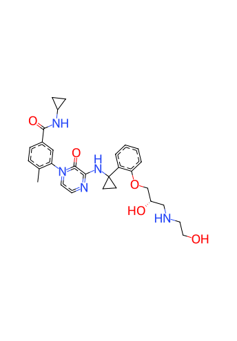 Cc1ccc(C(=O)NC2CC2)cc1-n1ccnc(NC2(c3ccccc3OC[C@@H](O)CNCCO)CC2)c1=O